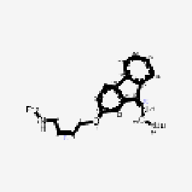 CCNC/C=C\COc1ccc2c(c1)/C(=N\OC(C)(C)C)c1ccccc1-2